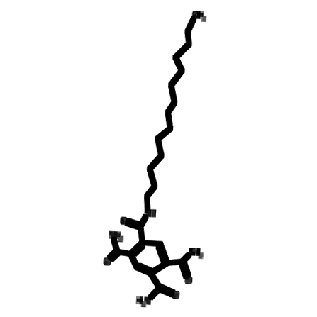 CCCCCCCCCCCCCCNC(=O)c1cc(C(N)=O)c(C(N)=O)cc1C(N)=O